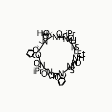 CC[C@H]1NC(=O)[C@@H]2CSC(=N2)[C@@H](Cc2ccccc2)N(C)C(=O)[C@@H]2CCCN2C(=O)[C@H](C(C)C)N(C)C(=O)[C@H](Cc2ccccc2)OC(=O)[C@H](C)[C@@H](C)NC(=O)[C@@H]([C@@H](C)O)NC(=O)[C@@H](CC(C)C)N(C)C(=O)[C@@H]2CSC1=N2